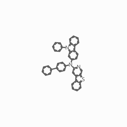 c1ccc(-c2ccc(N(c3ccc4c5ccccc5n(-c5ccccc5)c4c3)c3cc4c(cn3)sc3ccccc34)cc2)cc1